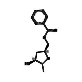 CC1O[C@H](COC(=O)c2ccccc2)C[C@@H]1O